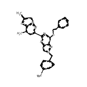 COc1ccc(Cn2cc3nc(-c4cc(C)c5nc(C)cn5n4)nc(OCc4ccccc4)c3n2)cc1